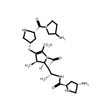 C[C@@H](NC(=O)[C@H]1C[C@H](N)CN1)[C@H]1C(=O)N2C(C(=O)O)=C(S[C@@H]3CN[C@H](C(=O)N4CCC(N)C4)C3)[C@H](C)[C@H]12